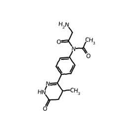 CC(=O)N(C(=O)CN)c1ccc(C2=NNC(=O)CC2C)cc1